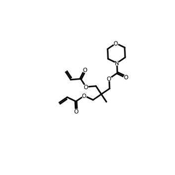 C=CC(=O)OCC(C)(COC(=O)C=C)COC(=O)N1CCOCC1